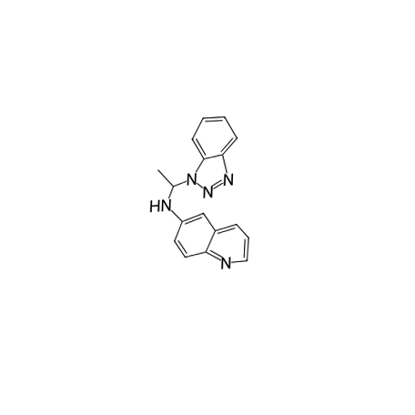 CC(Nc1ccc2ncccc2c1)n1nnc2ccccc21